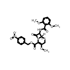 COC1=C(C(=O)OCc2ccc([N+](=O)[O-])cc2)N2C(=O)C(NC(=O)c3c(OC)cccc3OC)[C@@H]2SC1